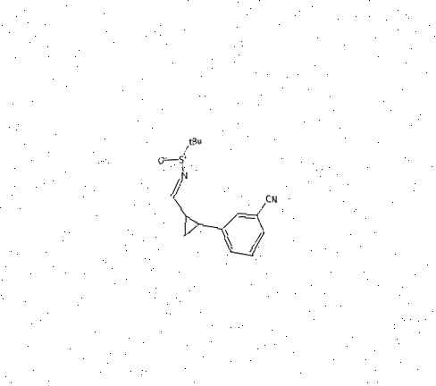 CC(C)(C)[S+]([O-])N=CC1CC1c1cccc(C#N)c1